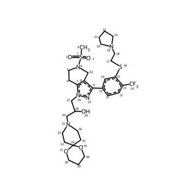 CS(=O)(=O)N1CCc2c(c(-c3ccc(C(F)(F)F)c(SCCN4CCCC4)c3)nn2CC(O)CN2CCC3(CC2)OCCCO3)C1